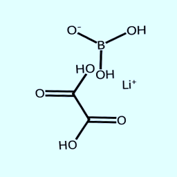 O=C(O)C(=O)O.[Li+].[O-]B(O)O